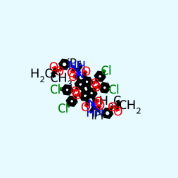 C=C(C)C(=O)OC1CCCC(NC(=O)C(CC(C)C)N2C(=O)c3cc(Oc4ccc(Cl)cc4)c4c5c(Oc6ccc(Cl)cc6)cc6c7c(cc(Oc8ccc(Cl)cc8)c(c8c(Oc9ccc(Cl)cc9)cc(c3c48)C2=O)c75)C(=O)N(C(CC(C)C)C(=O)NC2CCCC(OC(=O)C(=C)C)C2)C6=O)C1